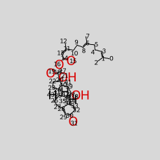 CC(C)=CCC/C(C)=C/CC/C(C)=C\C(=O)OCC(=O)[C@@]1(O)CC[C@H]2[C@@H]3CCC4=CC(=O)C=C[C@]4(C)[C@H]3[C@@H](O)C[C@@]21C